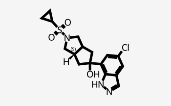 O=S(=O)(C1CC1)N1CC2CC(O)(c3cc(Cl)cc4cn[nH]c34)C[C@@H]2C1